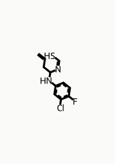 C=CCC(/N=C\S)Nc1ccc(F)c(Cl)c1